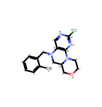 N#Cc1ccccc1CN1CC2COCCN2c2nc(Cl)ncc21